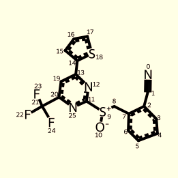 N#Cc1ccccc1C[S+]([O-])c1nc(-c2cccs2)cc(C(F)(F)F)n1